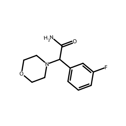 NC(=O)C(c1cccc(F)c1)N1CCOCC1